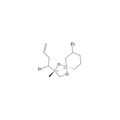 C=CCC(CC)[C@@]1(C)CO[C@@]2(CCCC(CC)C2)O1